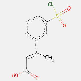 C/C(=C\C(=O)O)c1cccc(S(=O)(=O)Cl)c1